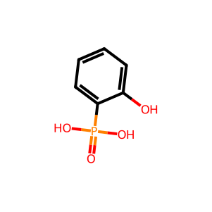 O=P(O)(O)c1ccccc1O